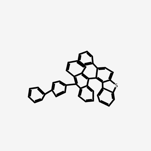 c1ccc(-c2ccc(-c3c4ccccc4c(-c4c(-c5ccccc5)ccc5sc6ccccc6c45)c4ccccc34)cc2)cc1